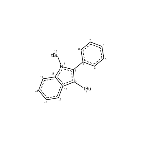 CC(C)(C)c1c(-c2ccccc2)n(C(C)(C)C)c2ccccc12